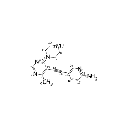 Cc1ncnc(N2CCNCC2)c1C#Cc1ccc(N)nc1